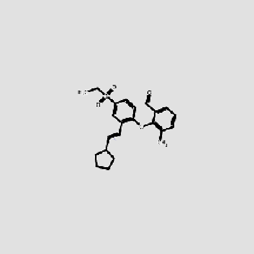 CCS(=O)(=O)c1ccc(Oc2c(C)cccc2C=O)c(/C=C/C2CCCC2)c1